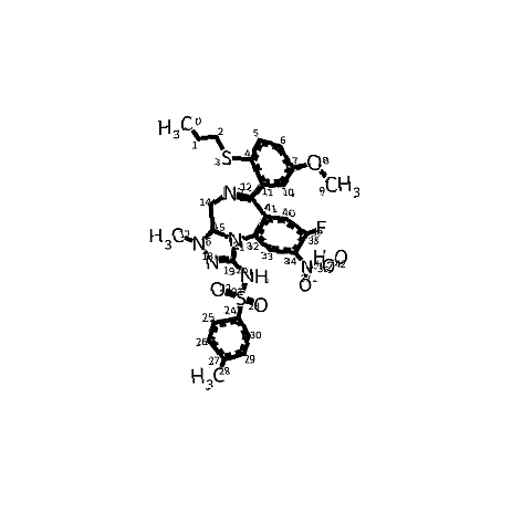 CCCSc1ccc(OC)cc1C1=NCC2N(C)N=C(NS(=O)(=O)c3ccc(C)cc3)N2c2cc([N+](=O)[O-])c(F)cc21.O